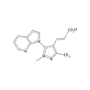 Cn1nc(C(F)(F)F)c(C=CC(=O)O)c1-n1ccc2cccnc21